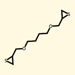 C(CCOCC1CS1)COCC1CS1